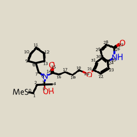 CSCCC(C)(O)N(CC1CCCCC1)C(=O)CCCCOc1ccc2[nH]c(=O)ccc2c1